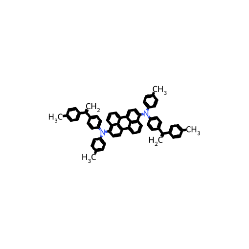 C=C(c1ccc(C)cc1)c1ccc(N(c2ccc(C)cc2)c2ccc3c4cccc5c(N(c6ccc(C)cc6)c6ccc(C(=C)c7ccc(C)cc7)cc6)ccc(c6cccc2c63)c54)cc1